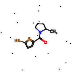 CC1CCCN1C(=O)c1ccc(S)s1